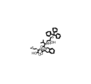 CSCC[C@H](NC(=O)C1Cc2ccccc2CN1C(=O)[C@@H](NC[C@H](O)CSC(c1ccccc1)(c1ccccc1)c1ccccc1)C(C)C)C(=O)O